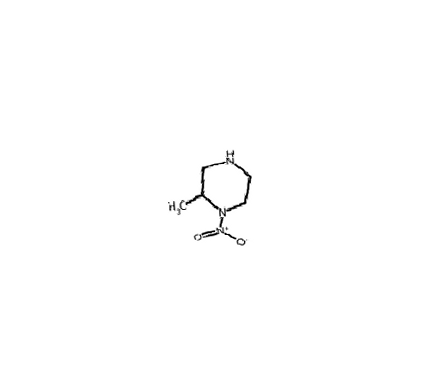 CC1CNCCN1[N+](=O)[O-]